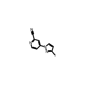 N#Cc1cc(-n2ccc(I)n2)ccn1